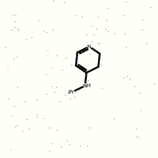 CC(C)NC1=CC=NCC1